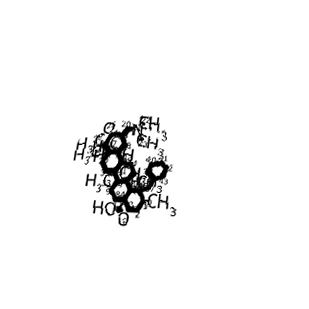 C[C@@H]1CC[C@]2(C(=O)O)CC[C@]3(C)C(=CC[C@@H]4[C@@]5(C)CC(=CN(C)C)C(=O)C(C)(C)[C@@H]5CC[C@]43C)[C@@H]2[C@@]1(C)Cc1ccccc1